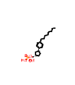 CCCCCCCCc1ccc([C@H]2CC[C@H](COP(=O)(O)O)C2)cc1